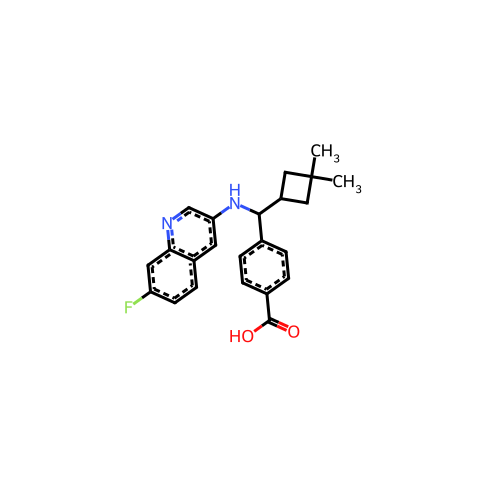 CC1(C)CC(C(Nc2cnc3cc(F)ccc3c2)c2ccc(C(=O)O)cc2)C1